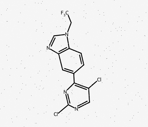 FC(F)(F)Cn1cnc2cc(-c3nc(Cl)ncc3Cl)ccc21